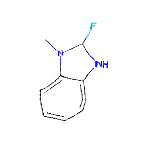 CN1c2ccccc2NC1F